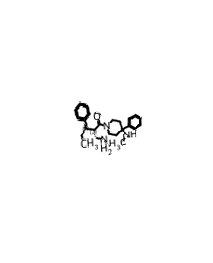 CC[C@@H](c1ccccc1)[C@@H](CN)C(=O)N1CCC(NC)(c2ccccc2)CC1